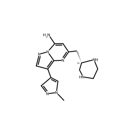 Cn1cc(-c2cnn3c(N)cc(C[C@H]4CNCCN4)nc23)cn1